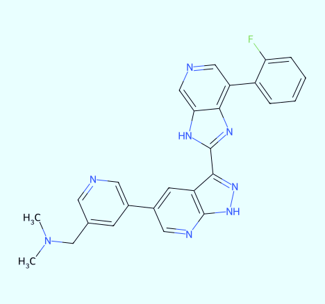 CN(C)Cc1cncc(-c2cnc3[nH]nc(-c4nc5c(-c6ccccc6F)cncc5[nH]4)c3c2)c1